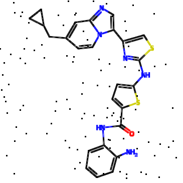 Nc1ccccc1NC(=O)c1ccc(Nc2nc(-c3cnc4cc(CC5CC5)ccn34)cs2)s1